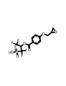 O=C(OC(C(F)(F)F)C(F)(F)S(=O)(=O)O)c1ccc(OCC2CO2)cc1